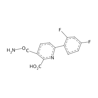 NOCc1ccc(-c2ccc(F)cc2F)nc1C(=O)O